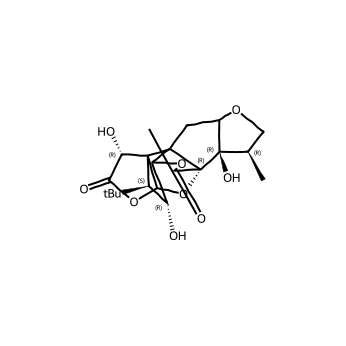 C[C@@H]1COC2CC34C5OC(=O)[C@]3(OC3OC(=O)[C@H](O)C34[C@H](C(C)(C)C)[C@H]5O)[C@]21O